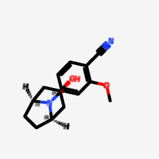 COc1cc(N2[C@@H]3CC[C@H]2C[C@@H](O)C3)ccc1C#N